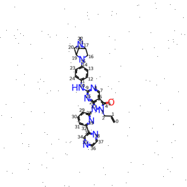 C=CCn1c(=O)c2cnc(Nc3ccc(N4CC5CC4CN5C)cc3)nc2n1-c1cccc(-c2cnccn2)n1